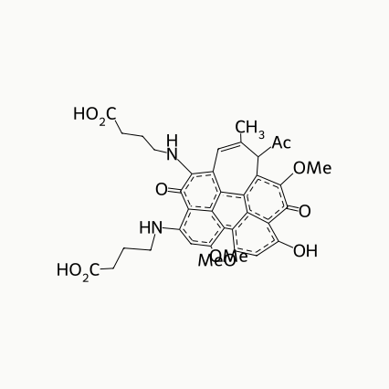 COc1c2c3c4c(c(NCCCC(=O)O)c(=O)c5c(NCCCC(=O)O)cc(OC)c(c6c(OC)cc(O)c(c1=O)c63)c54)C=C(C)C2C(C)=O